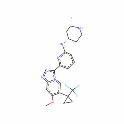 COc1cc2ncc(-c3cccc(N[C@H]4CCN[C@@H](C)C4)n3)n2cc1C1(C(F)(F)F)CC1